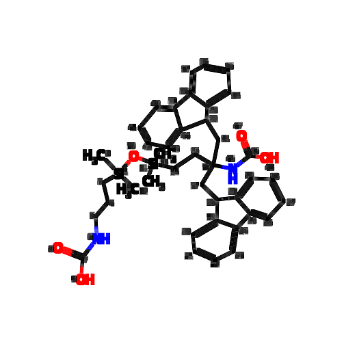 C[Si](C)(CCCNC(=O)O)O[Si](C)(C)CCC(CC1c2ccccc2-c2ccccc21)(CC1c2ccccc2-c2ccccc21)NC(=O)O